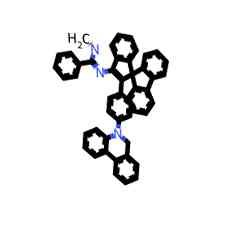 C=N/C(=N\C1=C(c2ccc(N3Cc4ccccc4-c4ccccc43)cc2)C2(c3ccccc31)c1ccccc1-c1ccccc12)c1ccccc1